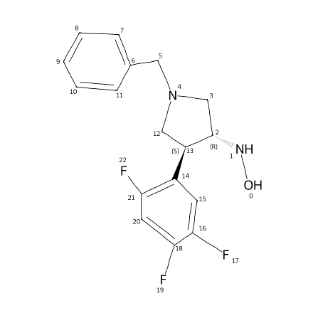 ON[C@H]1CN(Cc2ccccc2)C[C@@H]1c1cc(F)c(F)cc1F